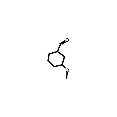 COC1CCCC([C]=O)C1